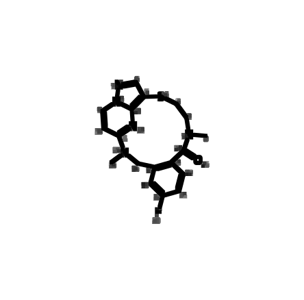 CN1CCSc2cnn3ccc(nc23)N(C)Cc2cc(F)ccc2C1=O